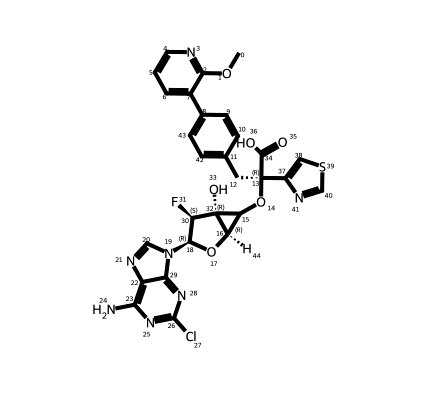 COc1ncccc1-c1ccc(C[C@](OC2[C@H]3O[C@@H](n4cnc5c(N)nc(Cl)nc54)[C@@H](F)[C@@]23O)(C(=O)O)c2cscn2)cc1